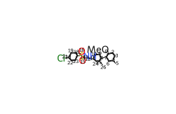 COc1ccc(C)cc1-c1ccc(CNS(=O)(=O)c2ccc(Cl)cc2)cc1C